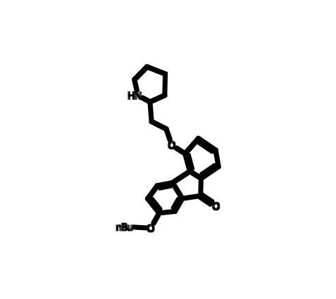 CCCCOc1ccc2c(c1)C(=O)c1cccc(OCCC3CCCCN3)c1-2